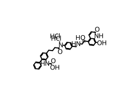 CN(C(=O)CCCc1ccc(-c2ccccc2)c(NC(=O)O)c1)c1ccc(CNC[C@H](O)c2ccc(O)c3[nH]c(=O)ccc23)cc1.Cl.Cl